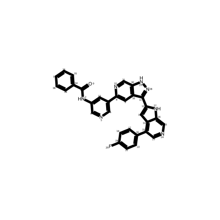 O=C(Nc1cncc(-c2cc3c(-c4cc5c(-c6ccc(F)cc6)cncc5[nH]4)n[nH]c3cn2)c1)c1ccccc1